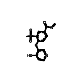 C=NC(=O)c1ccc(Oc2cnccc2O)c(S(C)(=O)=O)c1